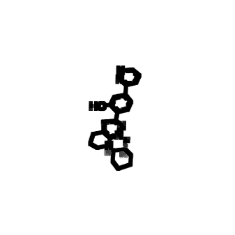 Oc1cc(-c2cccnn2)ccc1-c1cc2c(nn1)N([C@H]1CCCC[C@H]1F)CCC2